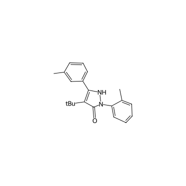 Cc1cccc(-c2[nH]n(-c3ccccc3C)c(=O)c2C(C)(C)C)c1